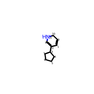 C1=CC(C2CCCC2)=CNC1